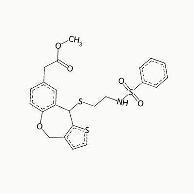 COC(=O)Cc1ccc2c(c1)C(SCCNS(=O)(=O)c1ccccc1)c1sccc1CO2